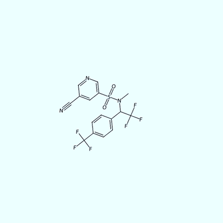 CN(C(c1ccc(C(F)(F)F)cc1)C(F)(F)F)S(=O)(=O)c1cncc(C#N)c1